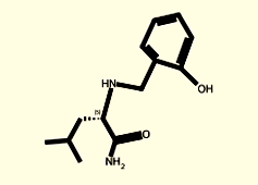 CC(C)C[C@H](NCc1ccccc1O)C(N)=O